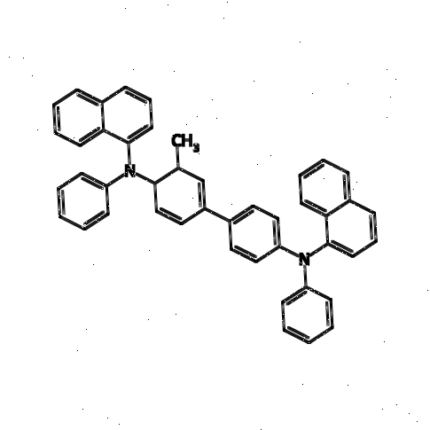 CC1C=C(c2ccc(N(c3ccccc3)c3cccc4ccccc34)cc2)C=CC1N(c1ccccc1)c1cccc2ccccc12